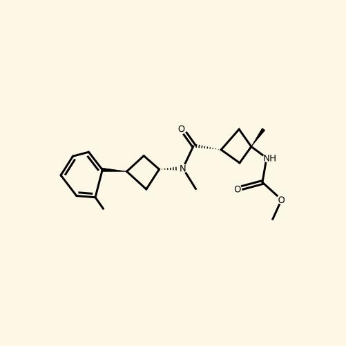 COC(=O)N[C@]1(C)C[C@H](C(=O)N(C)[C@H]2C[C@H](c3ccccc3C)C2)C1